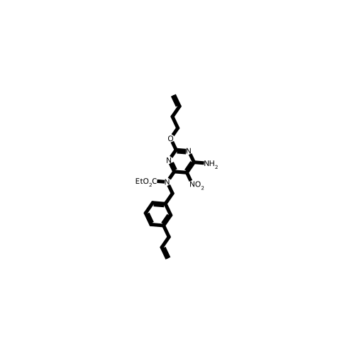 C=CCCOc1nc(N)c([N+](=O)[O-])c(N(Cc2cccc(CC=C)c2)C(=O)OCC)n1